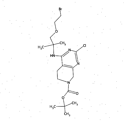 CC(C)(COCCBr)Nc1nc(Cl)nc2c1CCN(C(=O)OC(C)(C)C)C2